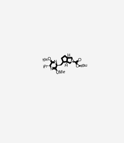 COC1=N[C@H](C(C)C)C(OC)=N[C@H]1CC1CC[C@H]2CN(C(=O)OC(C)(C)C)C[C@@H]12